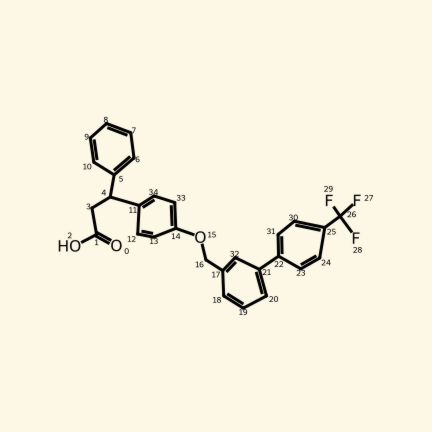 O=C(O)CC(c1ccccc1)c1ccc(OCc2cccc(-c3ccc(C(F)(F)F)cc3)c2)cc1